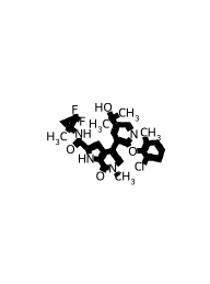 Cc1cccc(Cl)c1Oc1ncc(C(C)(C)O)cc1-c1cn(C)c(=O)c2[nH]c(C(=O)NC3(C)CC3(F)F)cc12